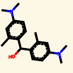 Cc1cc(N(C)C)ccc1C(O)c1ccc(N(C)C)cc1C